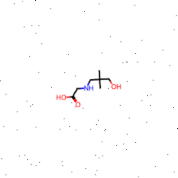 CC(C)(CO)CNCC(=O)O